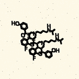 Cc1c(F)cccc1C1C(C(=O)c2cccc(O)c2)CN(CCCCNC(C)C)CC1C(=O)[C@@H]1CN(CCCCNC(C)C)C[C@H](C(=O)c2cccc(O)c2)[C@@H]1c1cccc(F)c1C